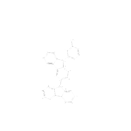 Oc1cccc(-n2c3ccccc3c3cc(-n4c5ccccc5c5ccccc54)ccc32)c1